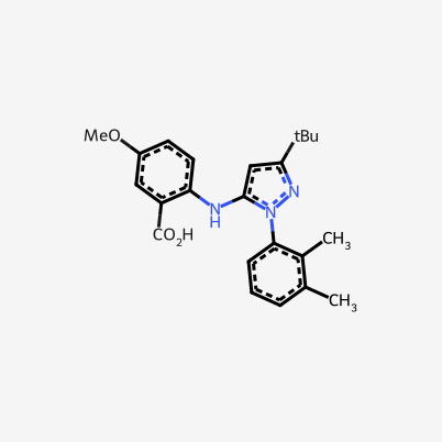 COc1ccc(Nc2cc(C(C)(C)C)nn2-c2cccc(C)c2C)c(C(=O)O)c1